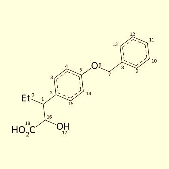 CCC(c1ccc(OCc2ccccc2)cc1)C(O)C(=O)O